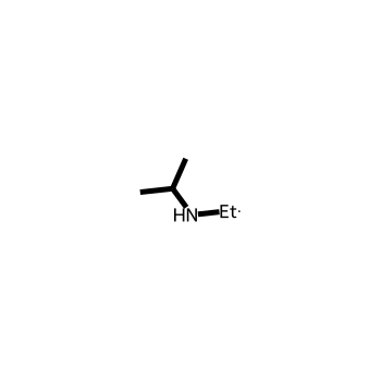 C[CH]NC(C)C